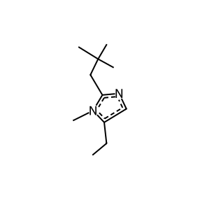 CCc1cnc(CC(C)(C)C)n1C